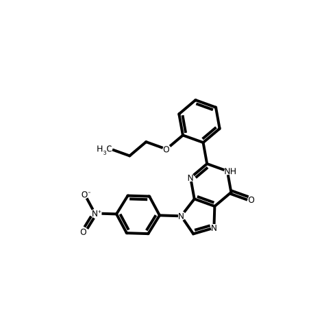 CCCOc1ccccc1-c1nc2c(ncn2-c2ccc([N+](=O)[O-])cc2)c(=O)[nH]1